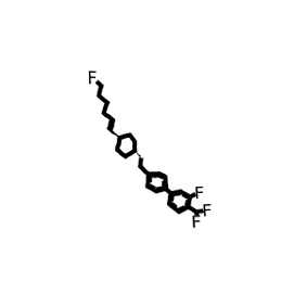 FCCCCC=C[C@H]1CC[C@H](CCc2ccc(-c3ccc(C(F)F)c(F)c3)cc2)CC1